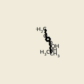 [CH2]CCCOc1ccc(OCC(O)CNC(C)C)cc1